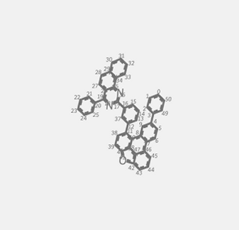 c1ccc(-c2ccc3c(c2)c2c(-c4cccc(-c5nc(-c6ccccc6)c6ccc7ccccc7c6n5)c4)ccc4oc5cccc3c5c42)cc1